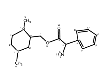 CN1CCN(C)C(COC(=O)C(N)c2ccccc2)C1